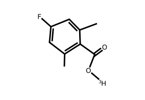 [3H]OC(=O)c1c(C)cc(F)cc1C